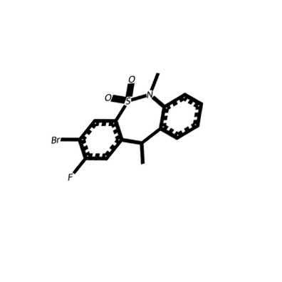 CC1c2ccccc2N(C)S(=O)(=O)c2cc(Br)c(F)cc21